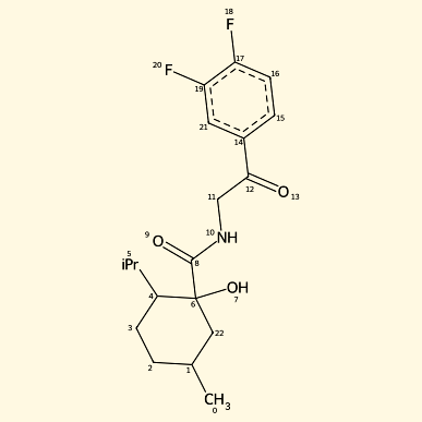 CC1CCC(C(C)C)C(O)(C(=O)NCC(=O)c2ccc(F)c(F)c2)C1